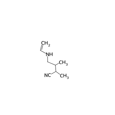 C=CNCC(C)C(C)C#N